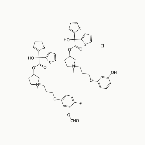 C[N+]1(CCCOc2ccc(F)cc2)CCC(OC(=O)C(O)(c2cccs2)c2cccs2)C1.C[N+]1(CCCOc2cccc(O)c2)CCC(OC(=O)C(O)(c2cccs2)c2cccs2)C1.O=C[O-].[Cl-]